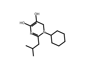 CC(C)CC1=NC(O)=C(O)CN1C1CCCCC1